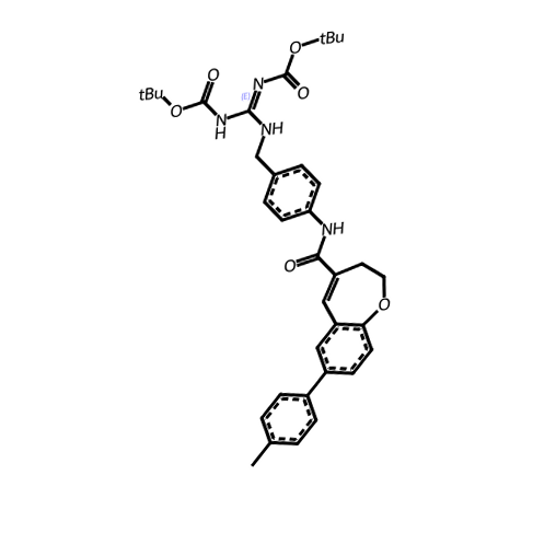 Cc1ccc(-c2ccc3c(c2)C=C(C(=O)Nc2ccc(CN/C(=N\C(=O)OC(C)(C)C)NC(=O)OC(C)(C)C)cc2)CCO3)cc1